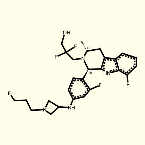 C[C@@H]1Cc2c([nH]c3c(F)cccc23)[C@@H](c2ccc(NC3CN(CCCF)C3)cc2F)N1CC(F)(F)CO